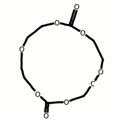 O=C1OCCOCCOC(=O)OCCOCCO1